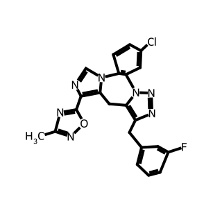 Cc1noc(-c2ncn3c2Cc2c(Cc4cccc(F)c4)nnn2-c2cc(Cl)ccc2-3)n1